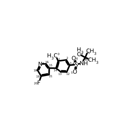 Cc1cc(S(=O)(=O)NC(C)(C)C)ccc1-c1cncc(F)c1